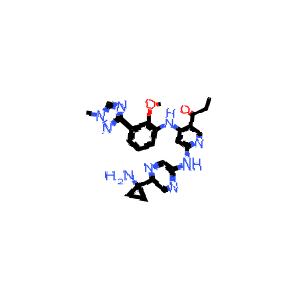 CCC(=O)c1cnc(Nc2cnc(C3(N)CC3)cn2)cc1Nc1cccc(-c2ncn(C)n2)c1OC